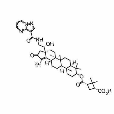 CC(C)C1=C2[C@H]3CC[C@@H]4[C@@]5(C)CC[C@H](OC(=O)[C@H]6C[C@@H](C(=O)O)C6(C)C)C(C)(C)[C@@H]5CC[C@@]4(C)[C@]3(C)CC[C@@]2([C@@H](O)CNC(=O)c2cnn3cccnc23)CC1=O